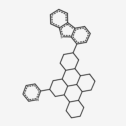 c1ccc(C2CC3C4CCCCC4C4CCCC5C6CC(c7cccc8c7sc7ccccc78)CCC6C(C2)C3C45)nc1